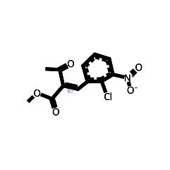 COC(=O)/C(=C/c1cccc([N+](=O)[O-])c1Cl)C(C)=O